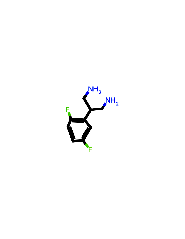 NCC(CN)c1cc(F)ccc1F